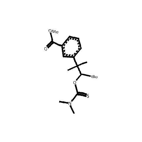 COC(=O)c1cccc(C(C)(C)C(OC(=S)N(C)C)C(C)(C)C)c1